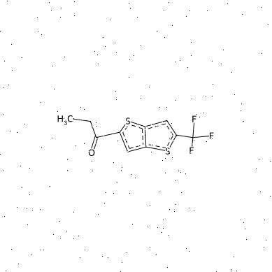 CCC(=O)c1cc2sc(C(F)(F)F)cc2s1